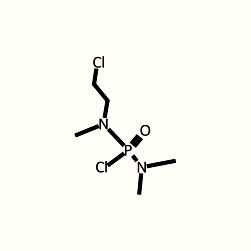 CN(C)P(=O)(Cl)N(C)CCCl